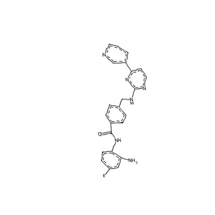 Nc1cc(F)ccc1NC(=O)c1ccc(CNc2nccc(-c3cccnc3)n2)cc1